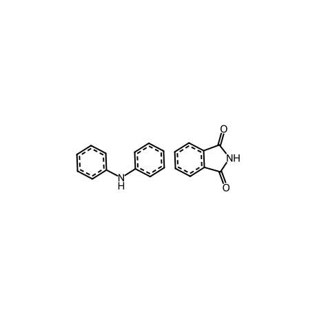 O=C1NC(=O)c2ccccc21.c1ccc(Nc2ccccc2)cc1